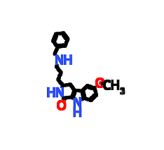 COc1ccc2[nH]c3c(c2c1)CC(CCCNCc1ccccc1)NC3=O